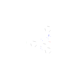 Nc1c(-c2ccc(F)cc2)nc2ccccc2c1C(=O)NNc1ccccc1